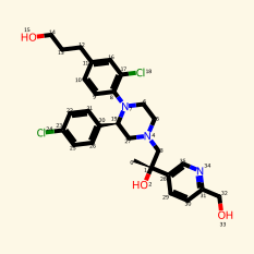 C[C@@](O)(CN1CCN(c2ccc(CCCO)cc2Cl)[C@H](c2ccc(Cl)cc2)C1)c1ccc(CO)nc1